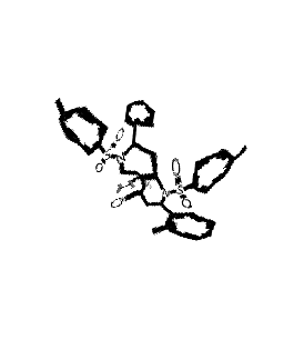 Cc1ccc(S(=O)(=O)N2C[C@H]3C(=O)CC(c4ccccc4C)N(S(=O)(=O)c4ccc(C)cc4)C3CC2c2ccccc2)cc1